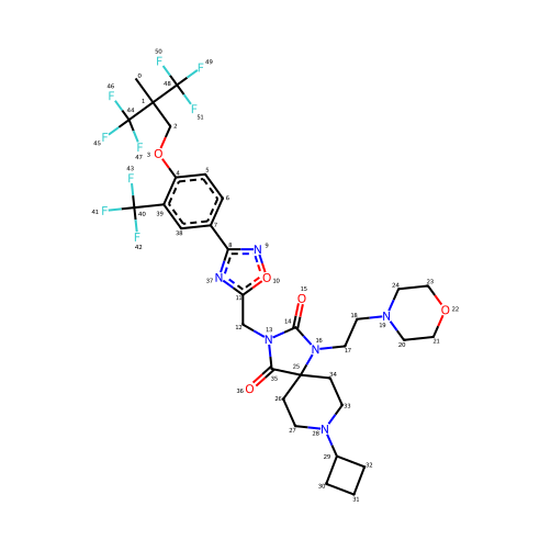 CC(COc1ccc(-c2noc(CN3C(=O)N(CCN4CCOCC4)C4(CCN(C5CCC5)CC4)C3=O)n2)cc1C(F)(F)F)(C(F)(F)F)C(F)(F)F